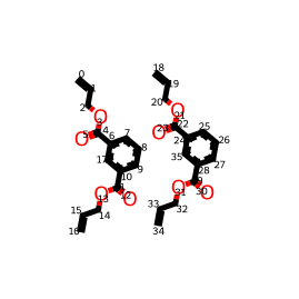 C=CCOC(=O)c1cccc(C(=O)OCC=C)c1.C=CCOC(=O)c1cccc(C(=O)OCC=C)c1